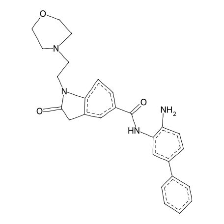 Nc1ccc(-c2ccccc2)cc1NC(=O)c1ccc2c(c1)CC(=O)N2CCN1CCOCC1